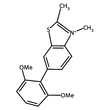 COc1cccc(OC)c1-c1ccc2c(c1)sc(C)[n+]2C